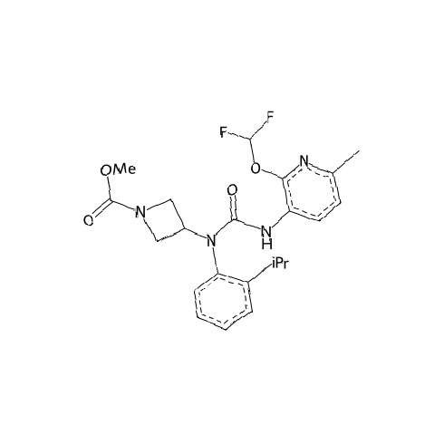 COC(=O)N1CC(N(C(=O)Nc2ccc(C)nc2OC(F)F)c2ccccc2C(C)C)C1